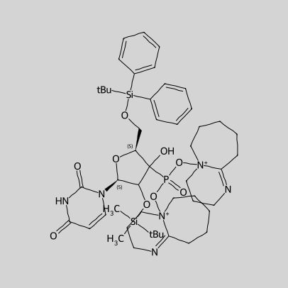 CC(C)(C)[Si](C)(C)OC1[C@@H](n2ccc(=O)[nH]c2=O)O[C@@H](CO[Si](c2ccccc2)(c2ccccc2)C(C)(C)C)C1(O)P(=O)(O[N+]12CCCCCC1=NCCC2)O[N+]12CCCCCC1=NCCC2